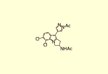 CC(=O)NC1Cc2c(-c3cnn(C(C)=O)c3)c3ccc(Cl)c(Cl)c3n2C1